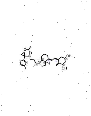 C=C1/C(=C\C=C2/CCC[C@]3(C)[C@@H]([C@H](C)CC[C@@H](OC(C)=O)C4(c5nc(C)cs5)CC4)CC[C@@H]23)C[C@@H](O)C[C@@H]1O